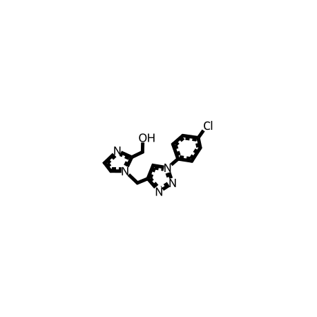 OCc1nccn1Cc1cn(-c2ccc(Cl)cc2)nn1